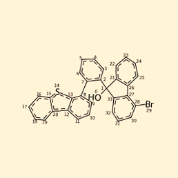 OC1(c2ccccc2-c2cccc3c2sc2ccccc23)c2ccccc2-c2c(Br)cccc21